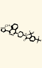 Cn1nccc1-c1nnc(N2CCC(NC(=O)c3ccc(C(F)(F)F)cc3C(F)(F)F)CC2)c2ccccc12